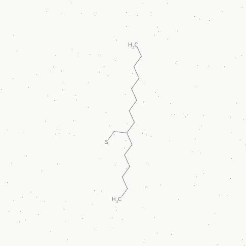 CCCCCCCCC(C[S])CCCCCC